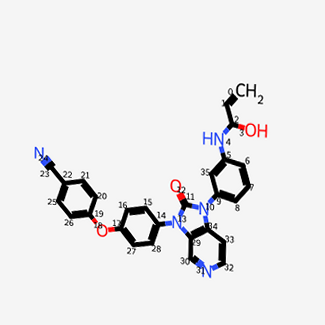 C=CC(O)Nc1cccc(-n2c(=O)n(-c3ccc(Oc4ccc(C#N)cc4)cc3)c3cnccc32)c1